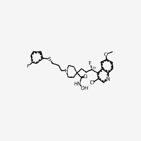 COc1ccc2ncc(Cl)c([C@H](F)CCC3(C(=O)NO)CCN(CCCSc4cccc(F)c4)CC3)c2c1